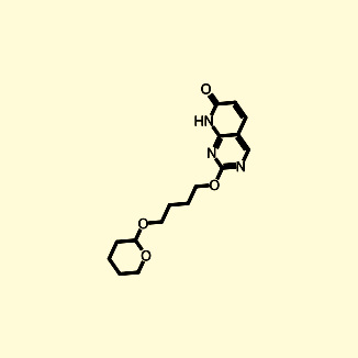 O=c1ccc2cnc(OCCCCOC3CCCCO3)nc2[nH]1